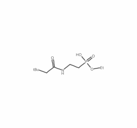 CCOP(=O)(O)CCNC(=O)CC(C)(C)C